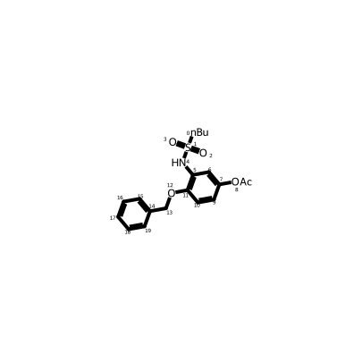 CCCCS(=O)(=O)Nc1cc(OC(C)=O)ccc1OCc1ccccc1